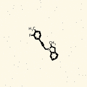 Cc1ccc(C#CCN2c3ccccc3CC2C)cc1F